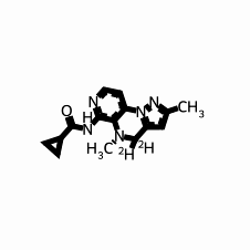 [2H]C1([2H])c2cc(C)nn2-c2ccnc(NC(=O)C3CC3)c2N1C